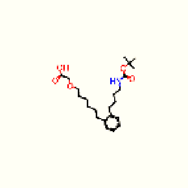 CC(C)(C)OC(=O)NCCCCc1ccccc1CCCCCCOCC(=O)O